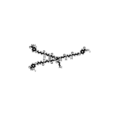 CC(=O)CCCC(=O)NC(COCCC(=O)NCCCNC(=O)CCCCOc1ccc(C(N)=O)cc1)(COCCC(=O)NCCCNC(=O)CCCCOc1ccc(C(N)=O)cc1)COCCC(=O)NCCCNC(=O)CCCCOc1ccc(C(N)=O)cc1